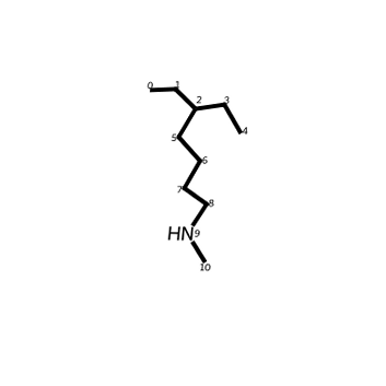 CCC(CC)CCCCNC